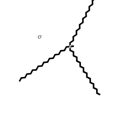 CCCCCCCCCCCCCCCCCC[N+](C)(CCCCCCCCCCCCCCCCCC)CCCCCCCCCCCCCCCCCC.[Cl-]